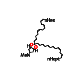 CCCCCC/C=C\C/C=C\C/C=C\CCCCC1(CCCCCCCC/C=C\C/C=C\CCCCCCC)O[C@H]2C[C@H](NC)C[C@H]2O1